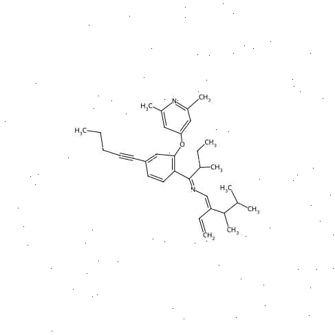 C=C/C(=C\N=C(\c1ccc(C#CCCC)cc1Oc1cc(C)nc(C)c1)C(C)CC)C(C)C(C)C